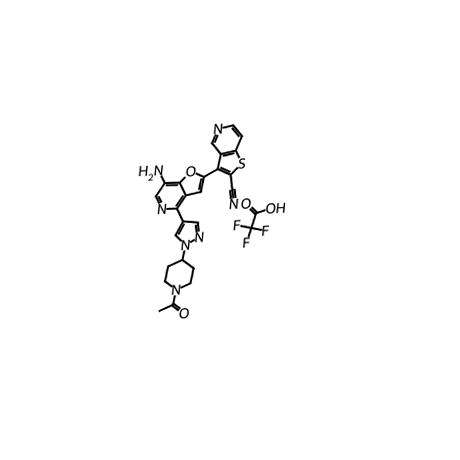 CC(=O)N1CCC(n2cc(-c3ncc(N)c4oc(-c5c(C#N)sc6ccncc56)cc34)cn2)CC1.O=C(O)C(F)(F)F